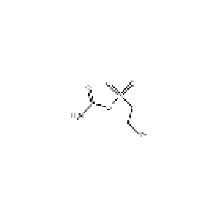 CC(C)CCS(=O)(=O)OC(N)=O